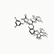 CC(C)[Si](Oc1cccc2c1CN(C(=O)OC(C)(C)C)[C@@H]([C@H]1OC(=O)N[C@H]1Cc1cc(F)cc(F)c1)C2)(C(C)C)C(C)C